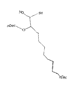 CCCCCCCCCCCCCCCCC(OCCCCCCCCCC)C(O)S